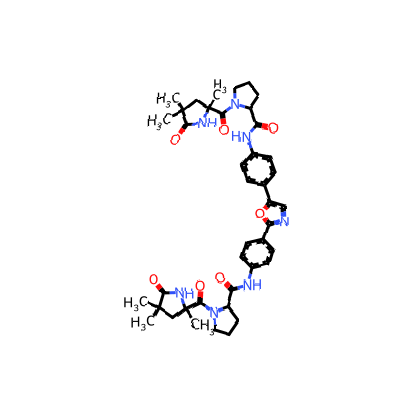 CC1(C)CC(C)(C(=O)N2CCCC2C(=O)Nc2ccc(-c3cnc(-c4ccc(NC(=O)C5CCCN5C(=O)C5(C)CC(C)(C)C(=O)N5)cc4)o3)cc2)NC1=O